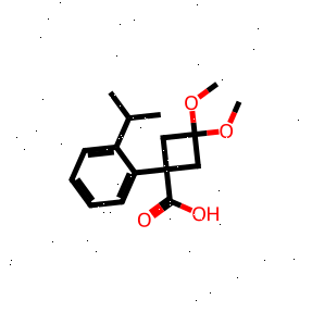 COC1(OC)CC(C(=O)O)(c2ccccc2C(C)C)C1